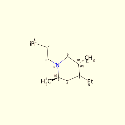 CCC1C[C@@H](C)N(CCC(C)C)C[C@@H]1C